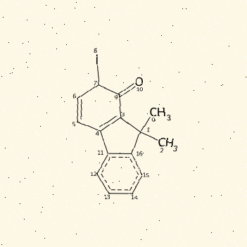 CC1(C)C2=C(C=CC(I)C2=O)c2ccccc21